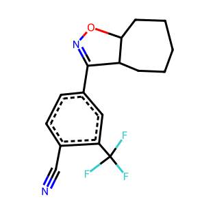 N#Cc1ccc(C2=NOC3CCCCCC23)cc1C(F)(F)F